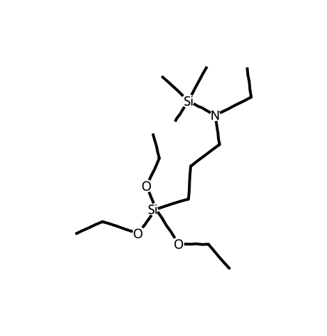 CCO[Si](CCCN(CC)[Si](C)(C)C)(OCC)OCC